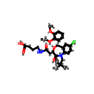 COc1cccc([C@H]2O[C@H](CC(=O)NCCCC(=O)O)C(=O)N(CC(C)(C)C)c3ccc(Cl)cc32)c1OC